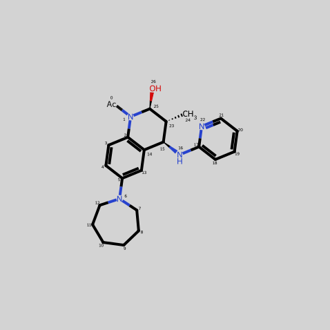 CC(=O)N1c2ccc(N3CCCCCC3)cc2[C@H](Nc2ccccn2)[C@@H](C)[C@@H]1O